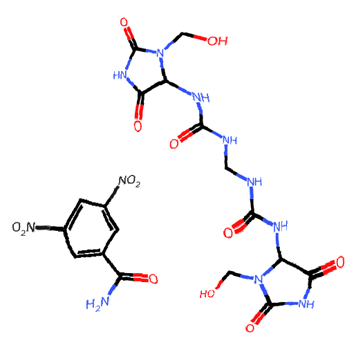 NC(=O)c1cc([N+](=O)[O-])cc([N+](=O)[O-])c1.O=C(NCNC(=O)NC1C(=O)NC(=O)N1CO)NC1C(=O)NC(=O)N1CO